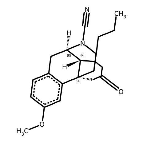 CCCC1CC(=O)C[C@]23CCN(C#N)[C@H](Cc4ccc(OC)cc42)[C@H]13